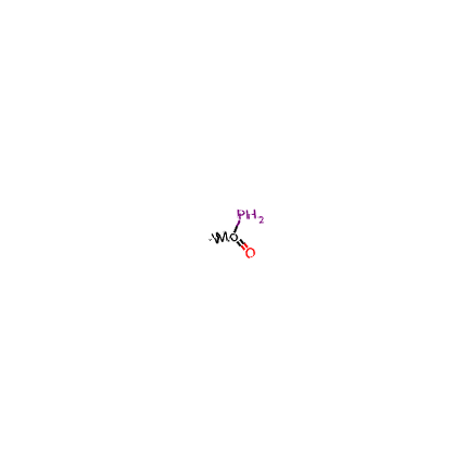 [O]=[Mo][PH2].[V]